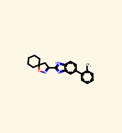 FC(F)(F)c1ccccc1-c1ccc2[nH]c(C3=NOC4(CCCCC4)C3)nc2c1